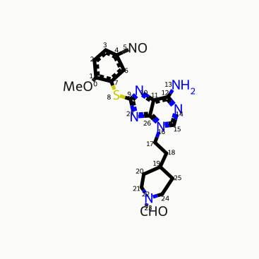 COc1ccc(N=O)cc1Sc1nc2c(N)ncn(CCC3CCN(C=O)CC3)c-2n1